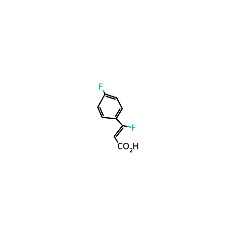 O=C(O)C=C(F)c1ccc(F)cc1